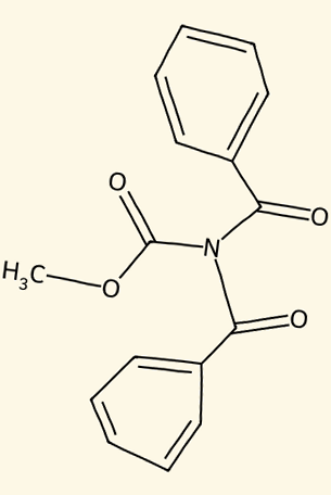 COC(=O)N(C(=O)c1ccccc1)C(=O)c1ccccc1